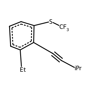 CCc1cccc(SC(F)(F)F)c1C#CC(C)C